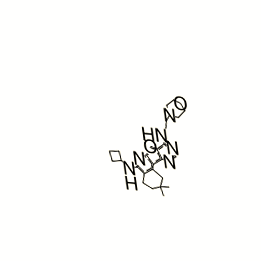 CC1(C)CCc2c(NC3CCC3)nc3oc4c(NCCN5CCOCC5)ncnc4c3c2C1